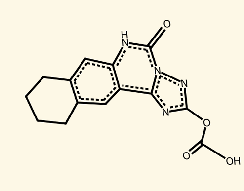 O=C(O)Oc1nc2c3cc4c(cc3[nH]c(=O)n2n1)CCCC4